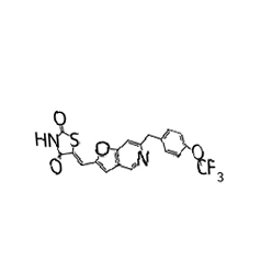 O=C1NC(=O)C(=Cc2cc3cnc(Cc4ccc(OC(F)(F)F)cc4)cc3o2)S1